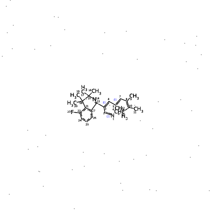 C\N=C/C(=C\C(C)=C\C(C)=C(C)C)C1=NC(C)(C)C(C)(C)c2c(F)cccc21